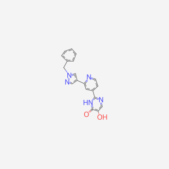 O=c1[nH]c(-c2ccnc(-c3cnn(Cc4ccccc4)c3)c2)ncc1O